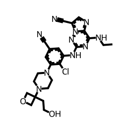 CCNc1nc(Nc2cc(C#N)cc(N3CCN(C4(CCO)COC4)CC3)c2Cl)nn2c(C#N)cnc12